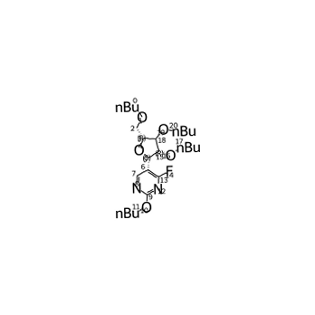 CCCCOC[C@H]1O[C@@H](c2cnc(OCCCC)nc2F)[C@@H](OCCCC)C1OCCCC